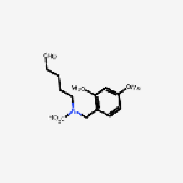 COc1ccc(CN(CCCCC=O)C(=O)O)c(OC)c1